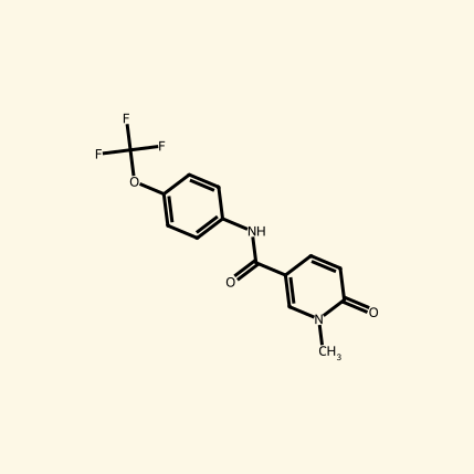 Cn1cc(C(=O)Nc2ccc(OC(F)(F)F)cc2)ccc1=O